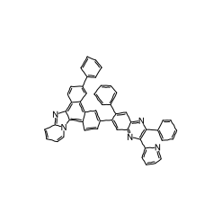 c1ccc(-c2ccc3c(c2)c2cc(-c4cc5nc(-c6ccccn6)c(-c6ccccc6)nc5cc4-c4ccccc4)ccc2c2c3nc3ccccn32)cc1